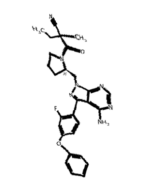 CCC(C)(C#N)C(=O)N1CCC[C@@H]1Cn1nc(-c2ccc(Oc3ccccc3)cc2F)c2c(N)ncnc21